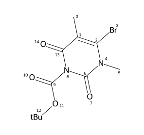 Cc1c(Br)n(C)c(=O)n(C(=O)OC(C)(C)C)c1=O